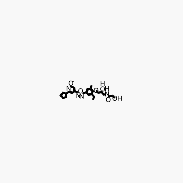 CCc1cc(-c2nnc(-c3cc(OC)nc(C4CCCC4)c3)o2)cc(C)c1OC[C@@H](O)CNC(=O)CO